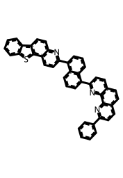 c1ccc(-c2ccc3ccc4ccc(-c5cccc6c(-c7ccc8c(ccc9c%10ccccc%10sc89)n7)cccc56)nc4c3n2)cc1